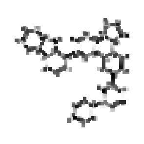 c1cc(-c2ccncc2)nc(-c2ccc3c(c2)c2cc(-c4cccc5c4sc4ccccc45)ccc2c2sccc32)c1